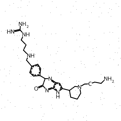 N=C(N)NCCCNCc1ccc(C2N=c3cc(C4CCCN(CCCCN)C4)[nH]c3=NC2=O)cc1